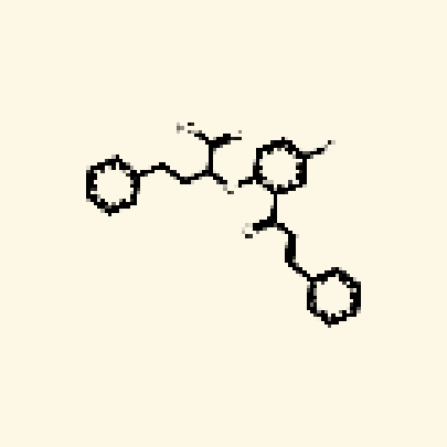 O=C(/C=C/c1ccccc1)c1cc(Cl)ccc1OC(CCc1ccccc1)C(=O)O